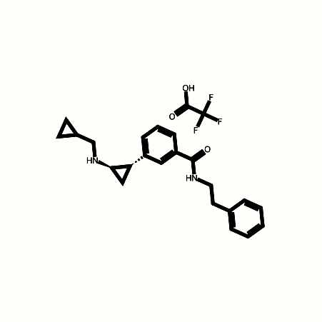 O=C(NCCc1ccccc1)c1cccc([C@@H]2C[C@H]2NCC2CC2)c1.O=C(O)C(F)(F)F